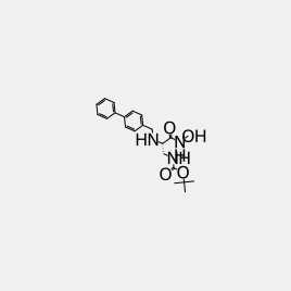 CC(C)(C)OC(=O)NC[C@H](NCc1ccc(-c2ccccc2)cc1)C(=O)NO